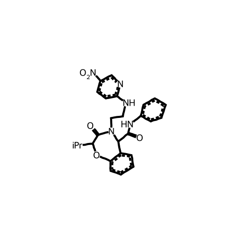 CC(C)C1Oc2ccccc2C(C(=O)Nc2ccccc2)N(CCNc2ccc([N+](=O)[O-])cn2)C1=O